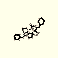 N#CC1(NC(=O)C(CC2CCCCC2)NC(=O)ON2CCOCC2)CCN(CCc2ccccc2)C1